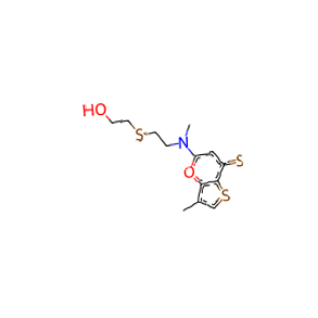 Cc1csc2c(=S)cc(N(C)CCSCCO)oc12